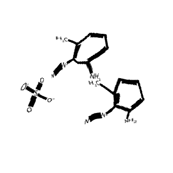 Cc1cccc(N)c1[N+]#N.Cc1cccc(N)c1[N+]#N.O=S(=O)([O-])[O-]